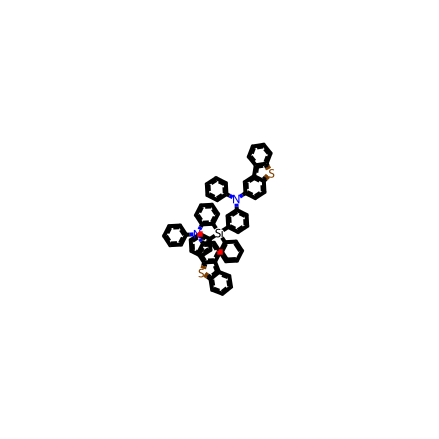 C1=C=C([Si](c2ccccc2)(c2cccc(N(c3ccccc3)c3ccc4sc5ccccc5c4c3)c2)c2ccccc2N(c2ccccc2)c2ccc3c(c2)sc2ccccc23)C=CC=1